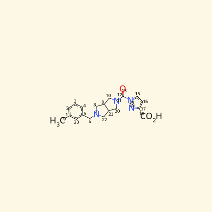 Cc1cccc(CN2CC3CN(C(=O)n4ccc(C(=O)O)n4)CC3C2)c1